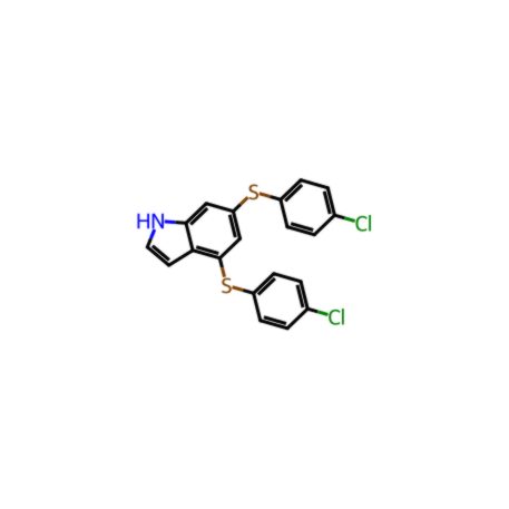 Clc1ccc(Sc2cc(Sc3ccc(Cl)cc3)c3cc[nH]c3c2)cc1